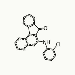 O=C1c2ccccc2-c2c1c(Nc1ccccc1Cl)cc1ccccc21